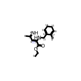 CCOC(=O)/C(=C/C(C)=N)NCC1=CCCC=C1F